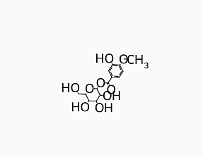 COc1ccc(C(=O)OC2OC(CO)C(O)C(O)C2O)cc1O